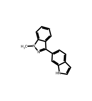 Cn1nc(-c2ccc3cc[nH]c3c2)c2c[c]ccc21